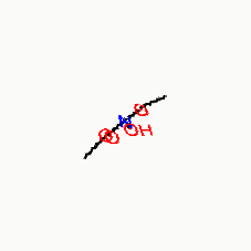 CCCCCCCCCOCCCCCCCN(CCO)CCCCCCCC(=O)OCCCCCCCCC